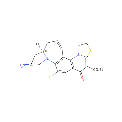 CCOC(=O)c1c2n(c3c4c(c(F)cc3c1=O)N1C[C@@H](N)C[C@H]1CC=C4)CCS2